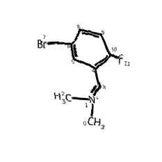 C[N+](C)=Cc1cc(Br)ccc1F